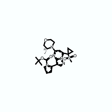 C[C@@H]1COCCN1c1cc(C2(S(C)(=O)=O)CC2)n2ncc(-c3cccn3C(=O)OC(C)(C)C)c2n1